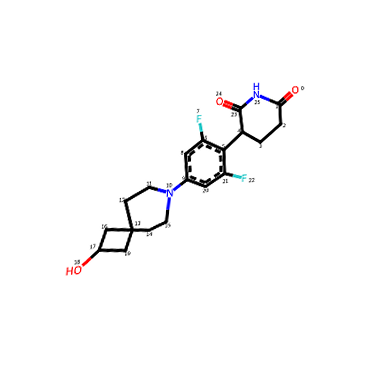 O=C1CCC(c2c(F)cc(N3CCC4(CC3)CC(O)C4)cc2F)C(=O)N1